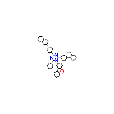 c1ccc2c(c1)CCc1cc(-c3nc(-c4ccc(-c5ccc6ccccc6c5)cc4)nc(-c4ccccc4-c4cccc5oc6ccccc6c45)n3)ccc1-2